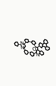 c1ccc(-c2cc(-c3cccc(-c4cccc(-c5oc6c(-c7ccccc7)nc7ccccc7c6c5-c5ccc6c7ccccc7c7ccccc7c6c5)c4)c3)nc(-c3ccccc3)n2)cc1